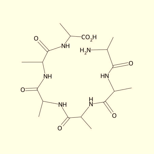 CC(N)C(=O)NC(C)C(=O)NC(C)C(=O)NC(C)C(=O)NC(C)C(=O)NC(C)C(=O)O